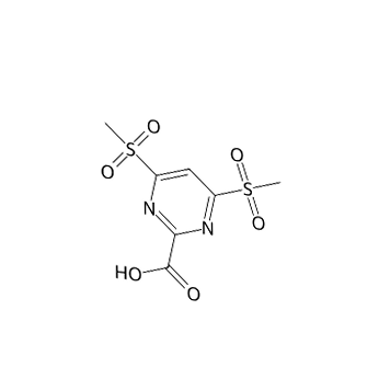 CS(=O)(=O)c1cc(S(C)(=O)=O)nc(C(=O)O)n1